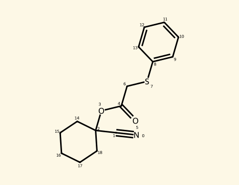 N#CC1(OC(=O)CSc2ccccc2)CCCCC1